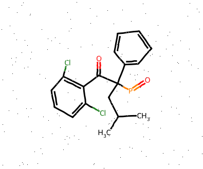 CC(C)CC(P=O)(C(=O)c1c(Cl)cccc1Cl)c1ccccc1